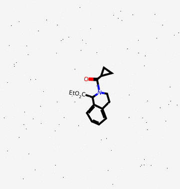 CCOC(=O)C1c2ccccc2CCN1C(=O)C1CC1